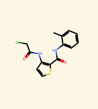 Cc1ccccc1NC(=O)c1sccc1NC(=O)CCl